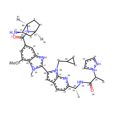 COc1cc(C(=O)N2[C@H]3CC[C@@H]2[C@H](N)C3)cc2nc(-c3cc4ccc([C@@H](C)NC(=O)C(C)n5cccn5)nc4n3CC3CC3)n(C)c12